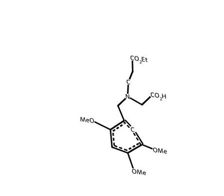 CCOC(=O)CCN(CC(=O)O)Cc1cc(OC)c(OC)cc1OC